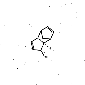 OC1C=CC2C3C=CC(C3)[C@@H]12